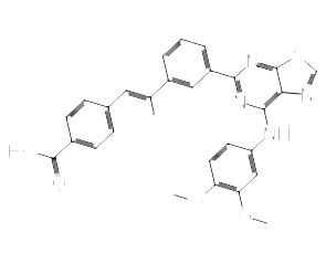 COc1ccc(Nc2nc(-c3cccc(/C(F)=C/c4ccc(C(=O)O)cc4)c3)nc3scnc23)cc1OC